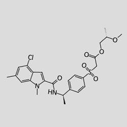 CO[C@@H](C)COC(=O)CS(=O)(=O)c1ccc([C@@H](C)NC(=O)c2cc3c(Cl)cc(C)cc3n2C)cc1